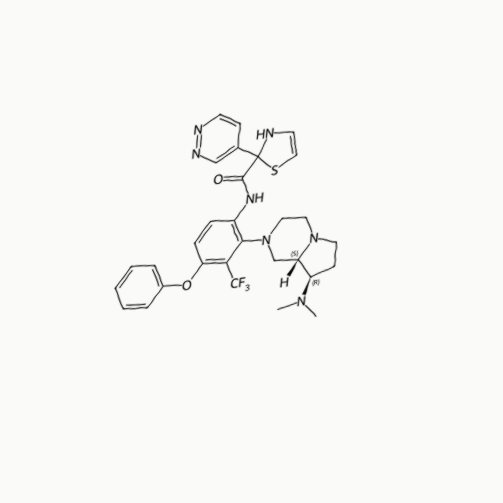 CN(C)[C@@H]1CCN2CCN(c3c(NC(=O)C4(c5ccnnc5)NC=CS4)ccc(Oc4ccccc4)c3C(F)(F)F)C[C@@H]12